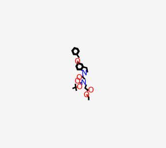 CCOC(=O)CCN(CC(=O)N1CCc2cc(OCc3ccccc3)ccc21)C(=O)OC(C)(C)C